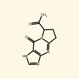 CC(=O)C1CCc2nc3nc[nH]c3c(=O)n21